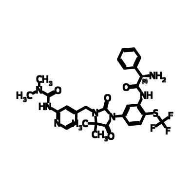 CN(C)C(=O)Nc1cc(CN2C(=O)N(c3ccc(SC(F)(F)F)c(NC(=O)[C@H](N)c4ccccc4)c3)C(=O)C2(C)C)ccn1